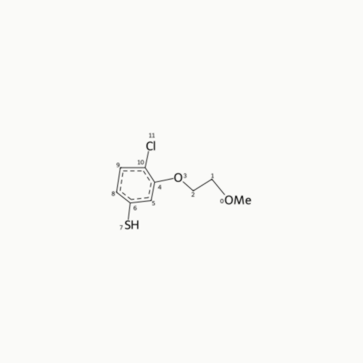 COCCOc1cc(S)ccc1Cl